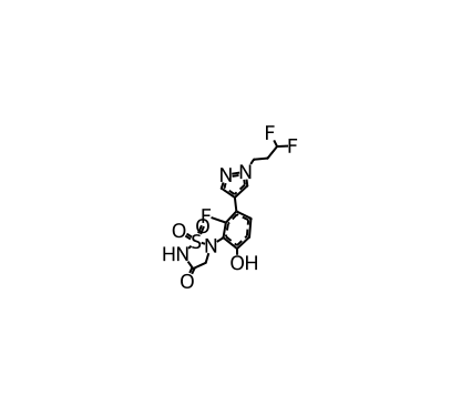 O=C1CN(c2c(O)ccc(-c3cnn(CCC(F)F)c3)c2F)S(=O)(=O)N1